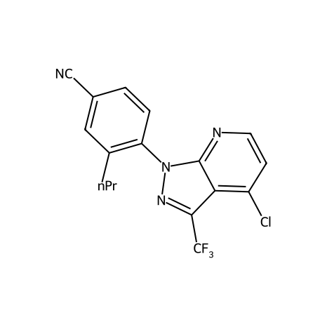 CCCc1cc(C#N)ccc1-n1nc(C(F)(F)F)c2c(Cl)ccnc21